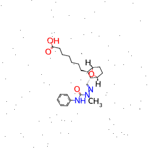 CN(N=C[C@@H]1[C@@H](CCCCCCC(=O)O)[C@@H]2CC[C@H]1O2)C(=O)Nc1ccccc1